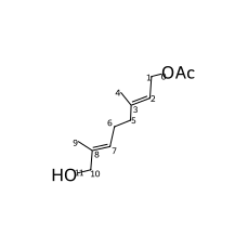 CC(=O)OC/C=C(\C)CC/C=C(\C)CO